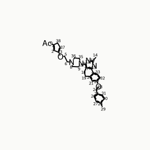 CC(=O)C1=CC(OCCN2CCN(c3nc(C)nc4c3CCc3cc(OCc5ccc(C)cc5)ccc3-4)CC2)=CC1